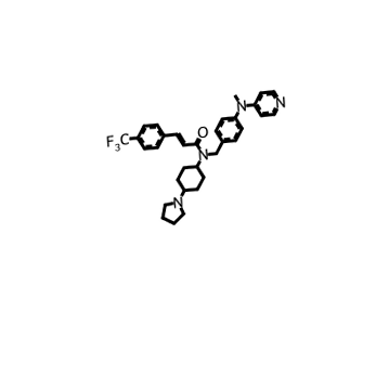 CN(c1ccncc1)c1ccc(CN(C(=O)/C=C/c2ccc(C(F)(F)F)cc2)C2CCC(N3CCCC3)CC2)cc1